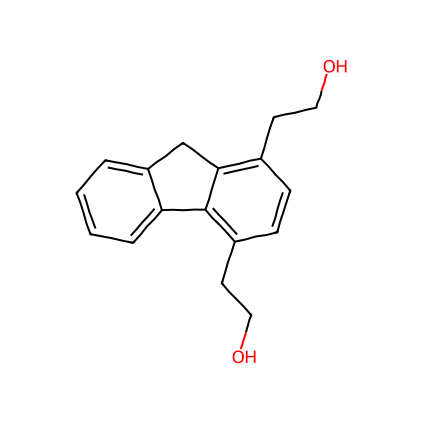 OCCc1ccc(CCO)c2c1Cc1ccccc1-2